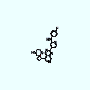 Fc1ccc(Nc2cc(-c3nc(N4CCNCC4)c4c(C5CCC5)cncc4n3)ccn2)cc1